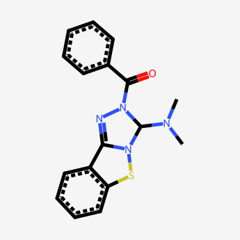 CN(C)C1N(C(=O)c2ccccc2)N=C2c3ccccc3SN21